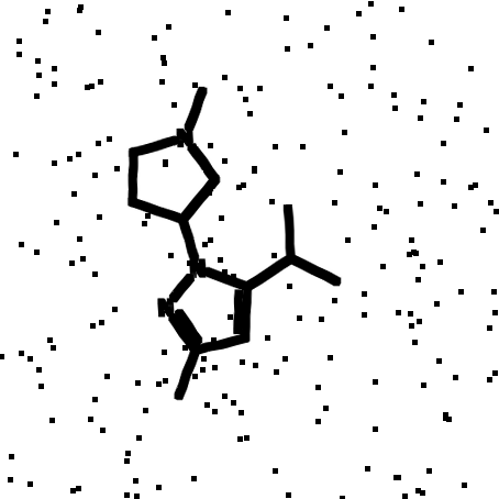 Cc1cc(C(C)C)n(C2CCN(C)C2)n1